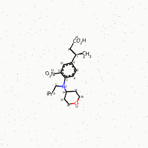 CC(C)CN(c1ccc([C@H](C)CC(=O)O)cc1[N+](=O)[O-])C1CCOCC1